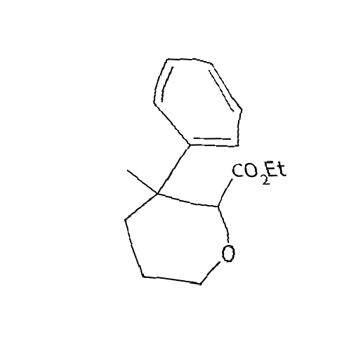 CCOC(=O)C1OCCCC1(C)c1ccccc1